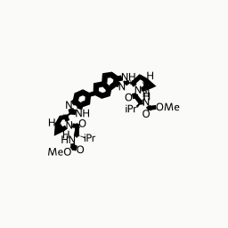 COC(=O)N[C@H](C(=O)N1[C@@H]2C[C@@H]2C[C@H]1c1nc2ccc(-c3ccc4c(ccc5[nH]c([C@@H]6C[C@H]7C[C@H]7N6C(=O)[C@@H](NC(=O)OC)C(C)C)nc54)c3)cc2[nH]1)C(C)C